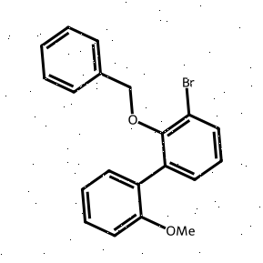 COc1ccccc1-c1cccc(Br)c1OCc1ccccc1